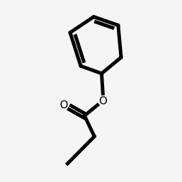 CCC(=O)OC1C=CC=CC1